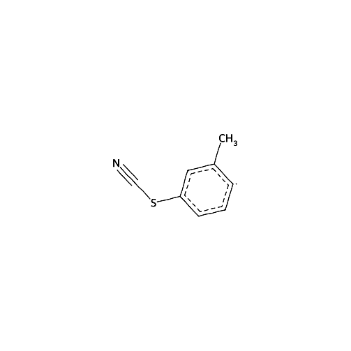 Cc1[c]ccc(SC#N)c1